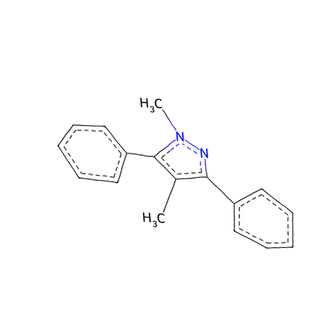 Cc1c(-c2ccccc2)nn(C)c1-c1ccccc1